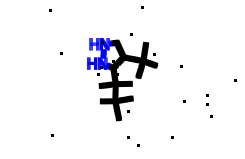 CC(C)(C)C1CNNC1C(C)(C)C(C)(C)C